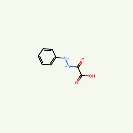 O=C(O)C(=O)NNc1ccccc1